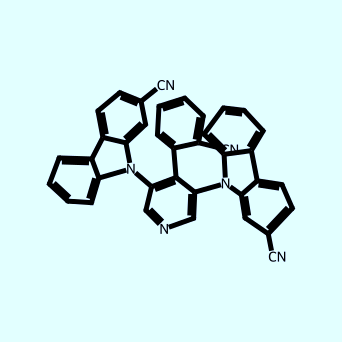 N#Cc1ccc2c3ccccc3n(-c3cncc(-n4c5ccccc5c5ccc(C#N)cc54)c3-c3ccccc3C#N)c2c1